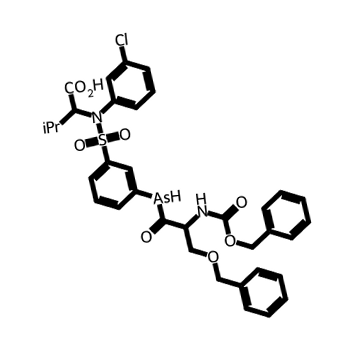 CC(C)C(C(=O)O)N(c1cccc(Cl)c1)S(=O)(=O)c1cccc([AsH]C(=O)C(COCc2ccccc2)NC(=O)OCc2ccccc2)c1